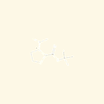 CC(C)[C@H]1CCON1C(=O)OC(C)(C)C